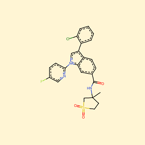 CC1(NC(=O)c2ccc3c(-c4ccccc4Cl)cn(-c4ccc(F)cn4)c3c2)CCS(=O)(=O)C1